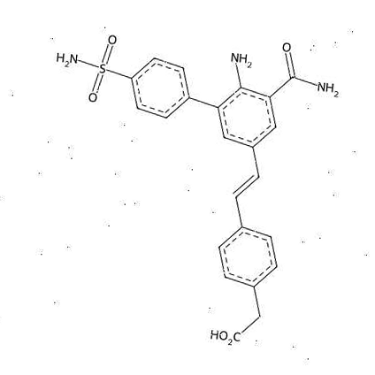 NC(=O)c1cc(/C=C/c2ccc(CC(=O)O)cc2)cc(-c2ccc(S(N)(=O)=O)cc2)c1N